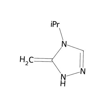 C=C1NN=CN1C(C)C